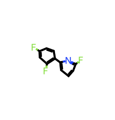 Fc1ccc(-c2cccc(F)n2)c(F)c1